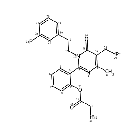 Cc1nc(-c2ccccc2OC(=O)CC(C)(C)C)n(CCc2cccc(F)c2)c(=O)c1CC(C)C